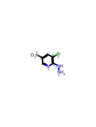 NNc1ncc([N+](=O)[O-])cc1Br